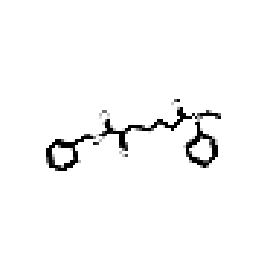 CCN(C(=O)CCCCC(=O)C(=O)OCc1ccccc1)c1ccccc1